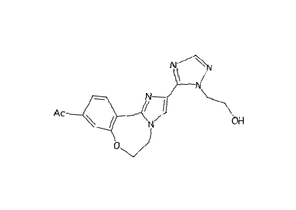 CC(=O)c1ccc2c(c1)OCCn1cc(-c3ncnn3CCO)nc1-2